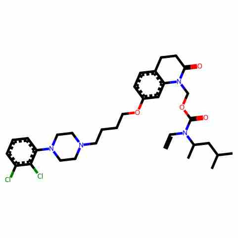 C=CN(C(=O)OCN1C(=O)CCc2ccc(OCCCCN3CCN(c4cccc(Cl)c4Cl)CC3)cc21)C(C)CC(C)C